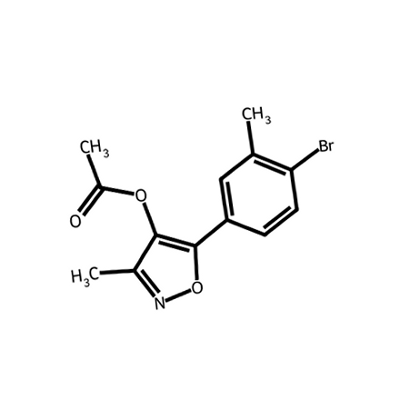 CC(=O)Oc1c(C)noc1-c1ccc(Br)c(C)c1